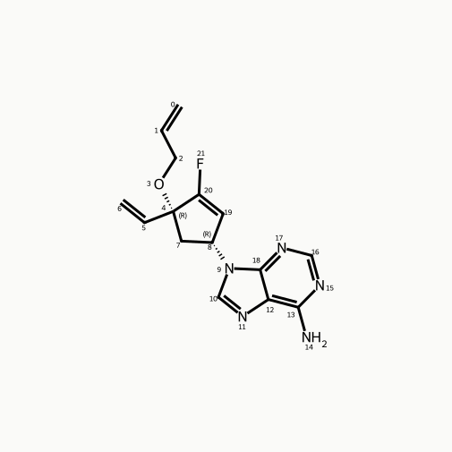 C=CCO[C@@]1(C=C)C[C@@H](n2cnc3c(N)ncnc32)C=C1F